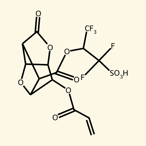 C=CC(=O)OC1C2OC(=O)C3C2OC1C3C(=O)OC(C(F)(F)F)C(F)(F)S(=O)(=O)O